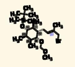 COCO[C@@H]1[C@@H](C)[C@@H](C)[C@H](O[Si](C)(C)C(C)(C)C)[C@@H](C)[C@@H]1C/C=C(\C)CBr